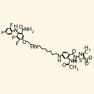 CC(=O)Nc1cc(NCCCCCCCNCCCOc2cc(C(N)=O)c(Nc3ccc(I)cc3F)c(F)c2F)ccc1C(=O)Nc1nc(C)c([N+](=O)[O-])s1